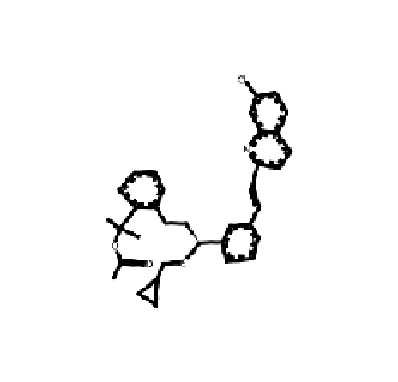 CC(=O)OC(C)(C)c1ccccc1CC[C@H](SCC1CC1)c1cccc(/C=C/c2ccc3ccc(Cl)cc3n2)c1